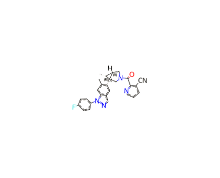 Cc1cc2c(cnn2-c2ccc(F)cc2)cc1[C@@]12CN(C(=O)c3ncccc3C#N)C[C@@H]1[C@H]2C